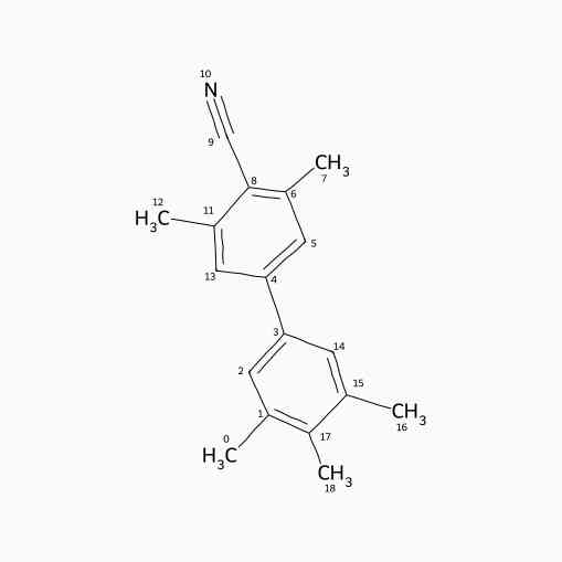 Cc1cc(-c2cc(C)c(C#N)c(C)c2)cc(C)c1C